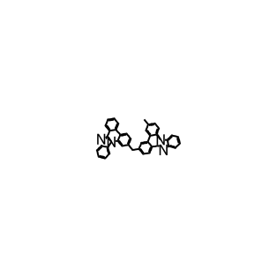 Cc1ccc2c(c1)c1cc(Cc3ccc4c5ccccc5c5nc6ccccc6n5c4c3)ccc1c1nc3ccccc3n21